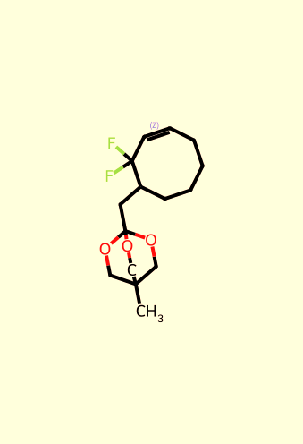 CC12COC(CC3CCCC/C=C\C3(F)F)(OC1)OC2